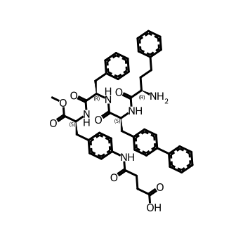 COC(=O)[C@H](Cc1ccc(NC(=O)CCC(=O)O)cc1)NC(=O)[C@@H](Cc1ccccc1)NC(=O)[C@H](Cc1ccc(-c2ccccc2)cc1)NC(=O)[C@H](N)CCc1ccccc1